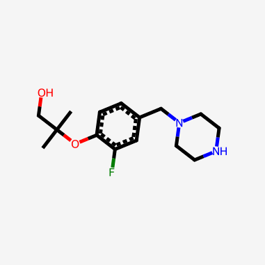 CC(C)(CO)Oc1ccc(CN2CCNCC2)cc1F